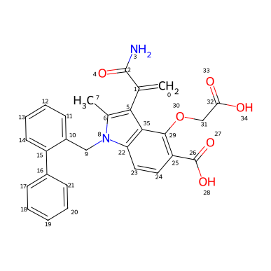 C=C(C(N)=O)c1c(C)n(Cc2ccccc2-c2ccccc2)c2ccc(C(=O)O)c(OCC(=O)O)c12